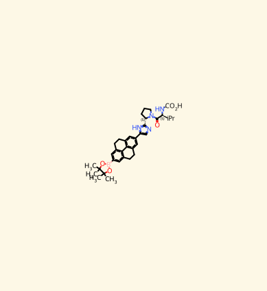 CC(C)[C@H](NC(=O)O)C(=O)N1CCC[C@H]1c1ncc(-c2cc3c4c(c2)CCc2cc(B5OC(C)(C)C(C)(C)O5)cc(c2-4)CC3)[nH]1